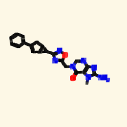 Cn1c(N)nc2ncn(Cc3nc(C4C5C=C(c6ccccc6)CC54)no3)c(=O)c21